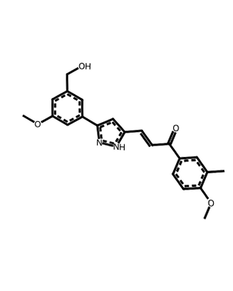 COc1cc(CO)cc(-c2cc(/C=C/C(=O)c3ccc(OC)c(C)c3)[nH]n2)c1